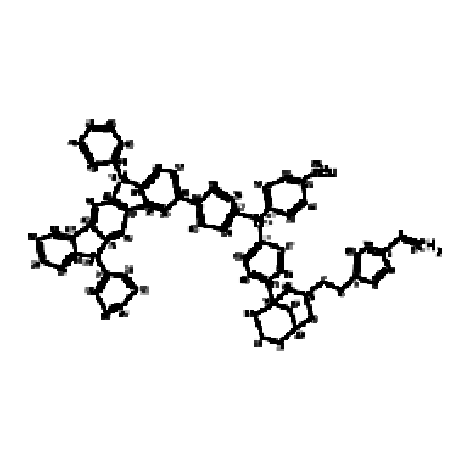 C=Cc1ccc(CCC2CC3CCCC(c4ccc(N(c5ccc(CCCC)cc5)c5ccc(-c6ccc7c(c6)c6cc8c(cc6n7-c6ccccc6)c6ccccc6n8-c6ccccc6)cc5)cc4)(C3)C2)cc1